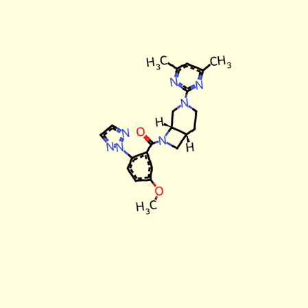 COc1ccc(-n2nccn2)c(C(=O)N2C[C@H]3CCN(c4nc(C)cc(C)n4)C[C@H]32)c1